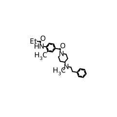 CCC(=O)Nc1ccc(C(=O)N2CCC(N(C)CCc3ccccc3)CC2)cc1C